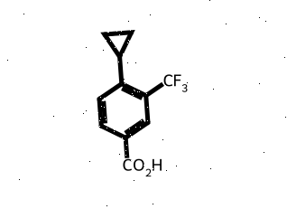 O=C(O)c1ccc(C2CC2)c(C(F)(F)F)c1